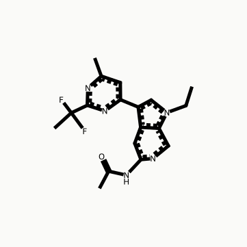 CCn1cc(-c2cc(C)nc(C(C)(F)F)n2)c2cc(NC(C)=O)ncc21